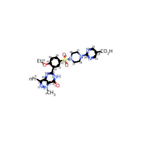 CCCc1nn(C)c2c(=O)[nH]c(-c3cc(S(=O)(=O)N4CCN(c5ncc(C(=O)O)cn5)CC4)ccc3OCC)nc12